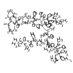 CC(C)(C)OC(=O)Nc1nc(/C(=N/OC(C)(C)C(=O)OC(C)(C)C)C(=O)N[C@H]2CON(C3(C(=O)OC(C)(C)C)C[C@H](N4C(=O)c5cc6c(nc5C4=O)OC(c4ccccc4)(c4ccccc4)O6)C(=O)O3)C2=O)cs1